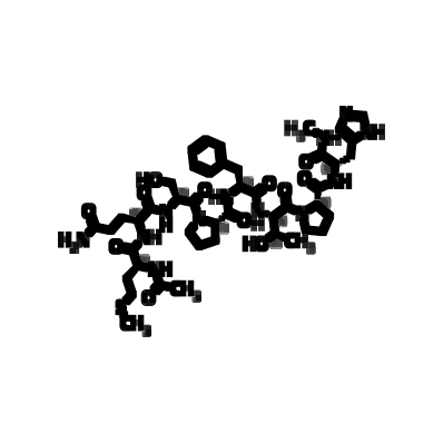 CNC(=O)[C@H](Cc1cnc[nH]1)NC(=O)[C@@H]1CCCN1C(=O)[C@@H](NC(=O)[C@H](Cc1ccccc1)NC(=O)[C@@H]1CCCN1C(=O)[C@H](CO)NC(=O)[C@H](CCC(N)=O)NC(=O)[C@H](CCSC)NC(C)=O)[C@@H](C)O